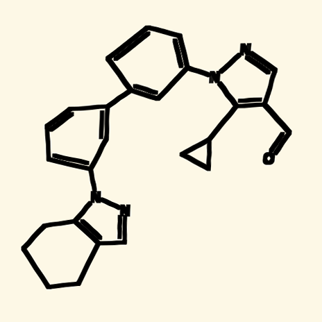 O=Cc1cnn(-c2cccc(-c3cccc(-n4ncc5c4CCCC5)c3)c2)c1C1CC1